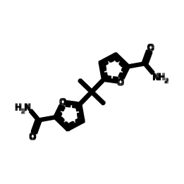 CC(C)(c1ccc(C(N)=O)o1)c1ccc(C(N)=O)o1